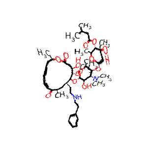 CO[C@@H]1[C@@H](O[C@@H]2O[C@H](C)[C@@H](O[C@H]3C[C@@](C)(O)[C@@H](OC(=O)CC(C)C)[C@H](C)O3)[C@H](N(C)C)[C@H]2O)[C@@H](CCNCCc2ccccc2)C[C@@H](C)C(=O)C=CC=CC[C@@H](C)OC(=O)C[C@H]1O